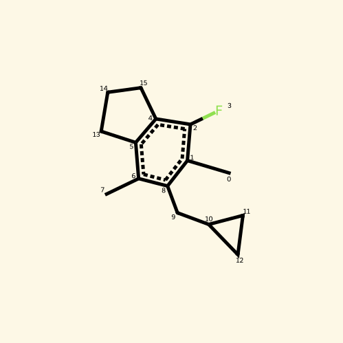 Cc1c(F)c2c(c(C)c1CC1CC1)CCC2